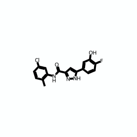 Cc1ccc(Cl)cc1NC(=O)c1cc(-c2ccc(F)c(O)c2)[nH]n1